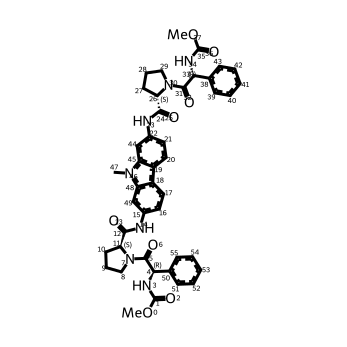 COC(=O)N[C@@H](C(=O)N1CCC[C@H]1C(=O)Nc1ccc2c3ccc(NC(=O)[C@@H]4CCCN4C(=O)[C@H](NC(=O)OC)c4ccccc4)cc3n(C)c2c1)c1ccccc1